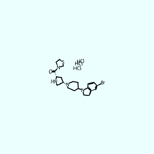 Cl.Cl.Cl.O=C([C@@H]1C[C@H](N2CCC(N3CCc4cc(Br)ccc43)CC2)CN1)N1CCSC1